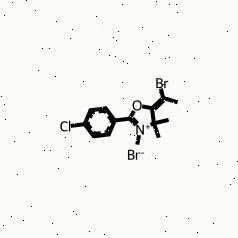 CC(Br)=C1OC(c2ccc(Cl)cc2)=[N+](C)C1(C)C.[Br-]